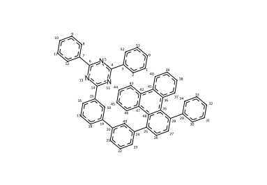 c1ccc(-c2nc(-c3ccccc3)nc(-c3cccc(-c4cccc(-c5ccc(-c6ccccc6)c6c7ccccc7c7ccccc7c56)c4)c3)n2)cc1